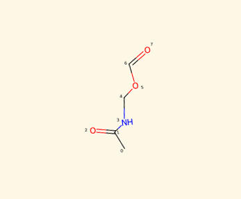 CC(=O)NCOC=O